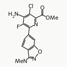 CNc1noc2cc(-c3nc(C(=O)OC)c(Cl)c(N)c3F)ccc12